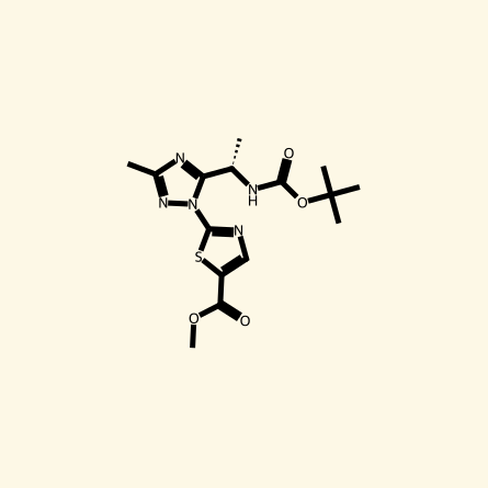 COC(=O)c1cnc(-n2nc(C)nc2[C@H](C)NC(=O)OC(C)(C)C)s1